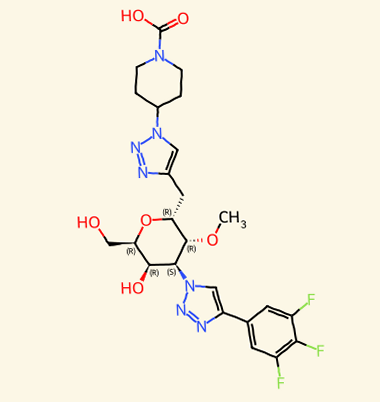 CO[C@@H]1[C@@H](n2cc(-c3cc(F)c(F)c(F)c3)nn2)[C@@H](O)[C@@H](CO)O[C@@H]1Cc1cn(C2CCN(C(=O)O)CC2)nn1